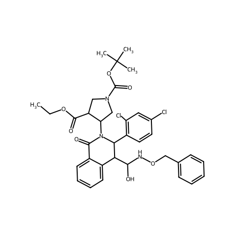 CCOC(=O)C1CN(C(=O)OC(C)(C)C)CC1N1C(=O)c2ccccc2C(C(O)NOCc2ccccc2)C1c1ccc(Cl)cc1Cl